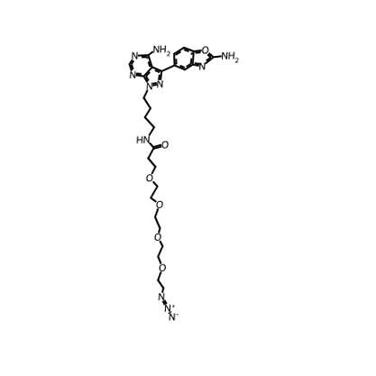 [N-]=[N+]=NCCOCCOCCOCCOCCC(=O)NCCCCn1nc(-c2ccc3oc(N)nc3c2)c2c(N)ncnc21